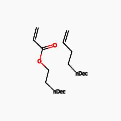 C=CC(=O)OCCCCCCCCCCCC.C=CCCCCCCCCCCCC